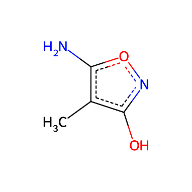 Cc1c(O)noc1N